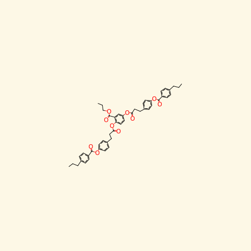 CCCOC(=O)c1cc(OC(=O)CCc2ccc(OC(=O)c3ccc(CCC)cc3)cc2)ccc1OC(=O)CCc1ccc(OC(=O)c2ccc(CCC)cc2)cc1